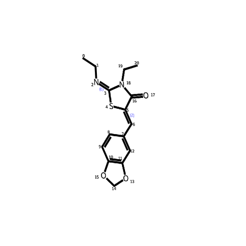 CC/N=C1/S/C(=C\c2ccc3c(c2)OCO3)C(=O)N1CC